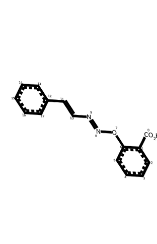 O=C(O)c1ccccc1ON=NC=Cc1ccccc1